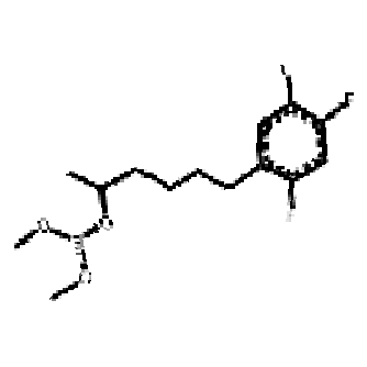 CO[SiH](OC)OC(C)CCCCc1cc(F)c(F)cc1F